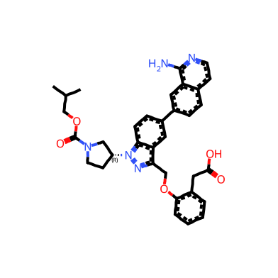 CC(C)COC(=O)N1CC[C@@H](n2nc(COc3ccccc3CC(=O)O)c3cc(-c4ccc5ccnc(N)c5c4)ccc32)C1